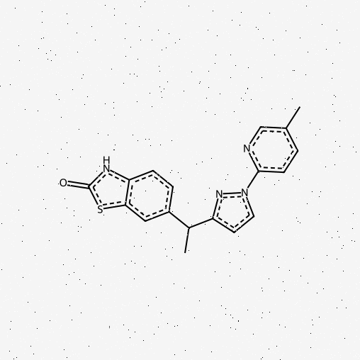 Cc1ccc(-n2ccc(C(C)c3ccc4[nH]c(=O)sc4c3)n2)nc1